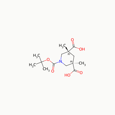 CC(C)(C)OC(=O)N1C[C@](C)(C(=O)O)C[C@@](C)(C(=O)O)C1